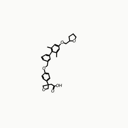 Cc1cc(OCC2CCCO2)cc(C)c1-c1cccc(COc2ccc(C3(CC(=O)O)COC3)cc2)c1